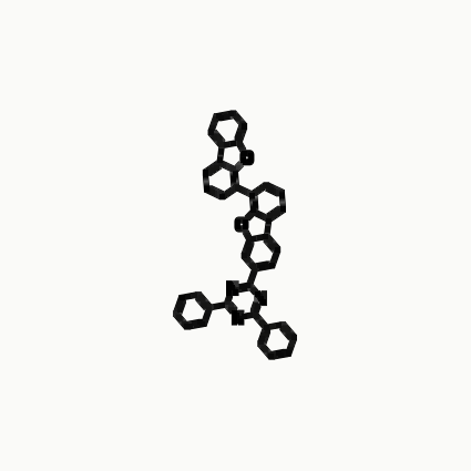 c1ccc(-c2nc(-c3ccccc3)nc(-c3ccc4c(c3)oc3c(-c5cccc6c5oc5ccccc56)cccc34)n2)cc1